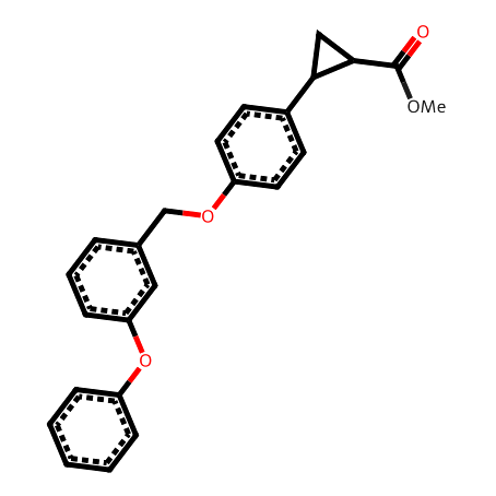 COC(=O)C1CC1c1ccc(OCc2cccc(Oc3ccccc3)c2)cc1